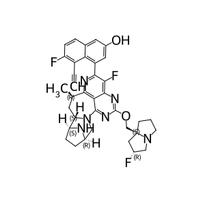 C#Cc1c(F)ccc2cc(O)cc(-c3nc4c5c(nc(OC[C@@]67CCCN6C[C@H](F)C7)nc5c3F)N3C[C@H]5CC[C@H](N5)[C@@H]3C[C@H]4C)c12